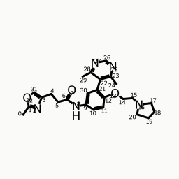 Cc1nc(CCC(=O)Nc2ccc(OCCN3CCCC3)c(-c3c(C)ncnc3C)c2)co1